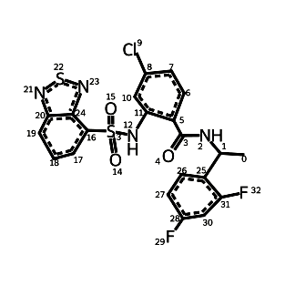 CC(NC(=O)c1ccc(Cl)cc1NS(=O)(=O)c1cccc2nsnc12)c1ccc(F)cc1F